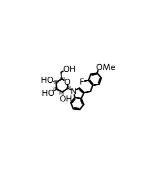 COc1ccc(Cc2cn([C@@H]3O[C@H](CO)[C@@H](O)[C@H](O)[C@H]3O)c3ccccc23)c(F)c1